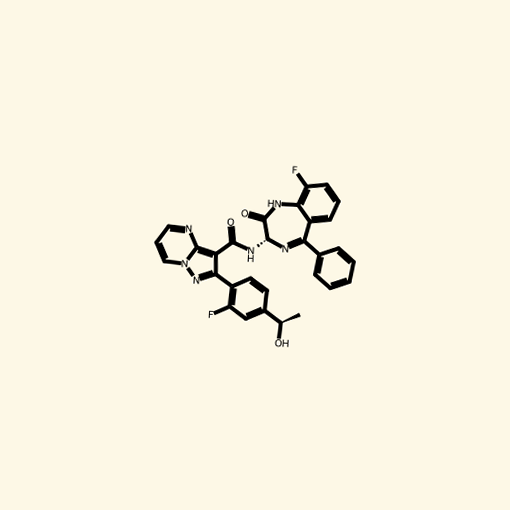 C[C@@H](O)c1ccc(-c2nn3cccnc3c2C(=O)N[C@H]2N=C(c3ccccc3)c3cccc(F)c3NC2=O)c(F)c1